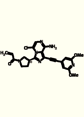 C=CC(=O)N1CC[C@H](c2nc(C#Cc3cc(OC)nc(OC)c3)c3c(N)ncc(Cl)n23)C1